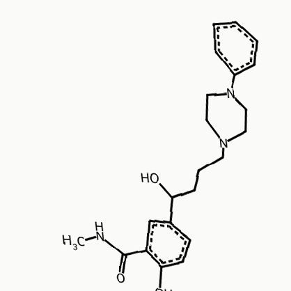 CNC(=O)c1cc(C(O)CCCN2CCN(c3ccccc3)CC2)ccc1O